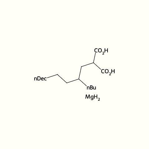 CCCCCCCCCCCCC(CCCC)CC(C(=O)O)C(=O)O.[MgH2]